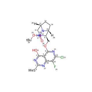 CSc1nc(O)c2c(OC[C@H]3NC[C@@H]4CC[C@H]3N4C(=O)OC(C)(C)C)nc(Cl)c(F)c2n1